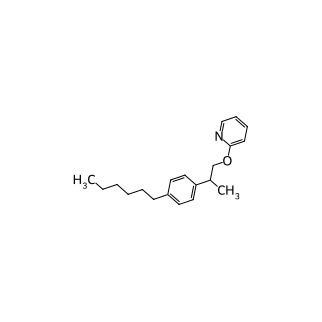 CCCCCCc1ccc(C(C)COc2ccccn2)cc1